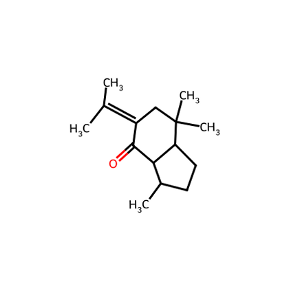 CC(C)=C1CC(C)(C)C2CCC(C)C2C1=O